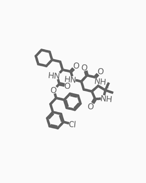 CC1(C)CC(CC(NC(=O)C(CC2CCCCC2)NC(=O)OC(Cc2cccc(Cl)c2)c2ccccc2)C(=O)C(N)=O)C(=O)N1